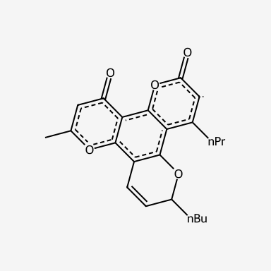 CCCCC1C=Cc2c(c3c(CCC)[c]c(=O)oc3c3c(=O)cc(C)oc23)O1